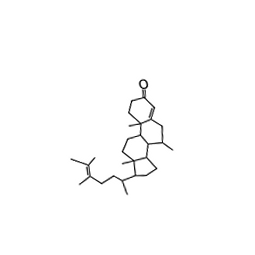 CC(C)=C(C)CCC(C)C1CCC2C3C(C)CC4=CC(=O)CCC4(C)C3CCC12C